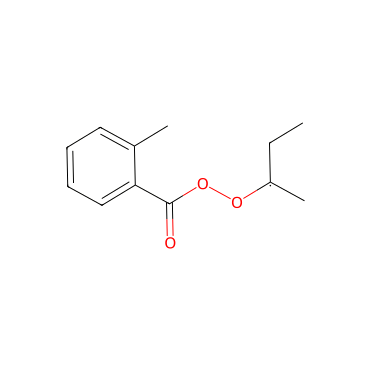 CC[C](C)OOC(=O)c1ccccc1C